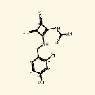 CCC(CC)Nc1c(NCc2ccc(Cl)cc2Cl)c(=O)c1=O